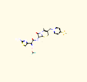 CS(=O)(=O)c1cc[n+](CC2=C(C(=O)[O-])N3C(=O)C(NC(=O)C(=NOC(F)F)c4csc(N)n4)[C@@H]3SC2)cc1